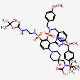 COc1ccc(CN(Cc2ccc(OC)cc2)S(=O)(=O)c2c(S(=O)(=O)NCCNC(=O)OC(C)(C)C)ccc(N3CCC(O)(CN(C(=O)O)C(C)(C)C)CC3)c2-c2nnn(Cc3ccc(OC)cc3)n2)cc1